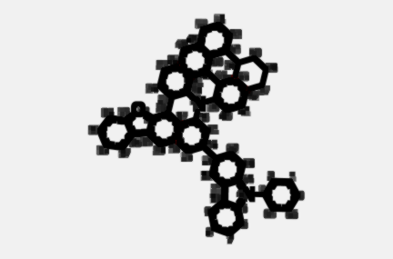 c1ccc(-n2c3ccccc3c3cc(-c4cccc(N(c5ccccc5-c5cccc6c5oc5ccccc56)c5ccccc5-c5cccc6cccc(C7CCCCC7)c56)c4)ccc32)cc1